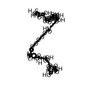 Cc1nnc(-c2ccc(OCCOCCOCCOCCOCCC(=O)NCCCCCCOP(=O)(O)OP(=O)(O)OP(=O)(O)OP(=O)(O)OP(=O)(O)OP(=O)(O)OC[C@H]3O[C@@H](n4cc(C)c(=O)[nH]c4=O)CC3O)cc2)c2c1CCC(OC(=O)NCCOP(=O)(O)OCCCOP1(=O)OC[C@H]3O[C@H](CC3O)n3cc(c(=O)[nH]c3=O)O1)CCC2